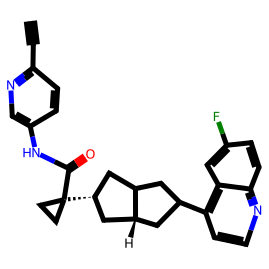 C#Cc1ccc(NC(=O)C2([C@@H]3CC4CC(c5ccnc6ccc(F)cc56)C[C@@H]4C3)CC2)cn1